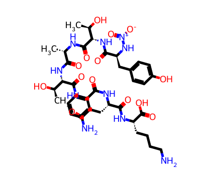 C[C@H](NC(=O)[C@@H](NC(=O)[C@H](Cc1ccc(O)cc1)N[N+](=O)[O-])[C@@H](C)O)C(=O)N[C@H](C(=O)N[C@@H](CC(N)=O)C(=O)N[C@@H](Cc1ccccc1)C(=O)N[C@@H](CCCCN)C(=O)O)[C@@H](C)O